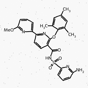 COc1cccc(-c2ccc(C(=O)NS(=O)(=O)c3cccc(N)n3)c(Oc3c(C)cc(C)cc3C)n2)n1